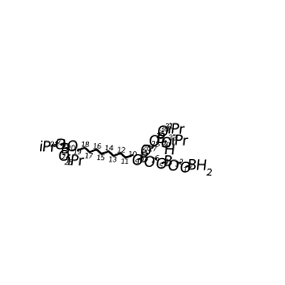 BOCOBOCOB(OCCCCCCCCCCOB(OC(C)C)OC(C)C)OCOB(OC(C)C)OC(C)C